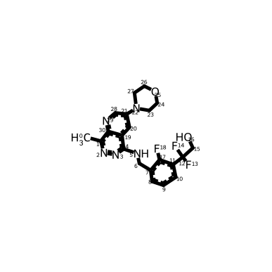 Cc1nnc(NCc2cccc(C(F)(F)CO)c2F)c2cc(N3CCOCC3)cnc12